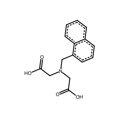 O=C(O)CN(CC(=O)O)Cc1cccc2ccccc12